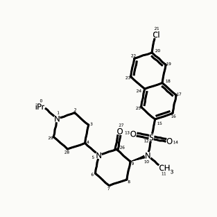 CC(C)N1CCC(N2CCC[C@H](N(C)S(=O)(=O)c3ccc4cc(Cl)ccc4c3)C2=O)CC1